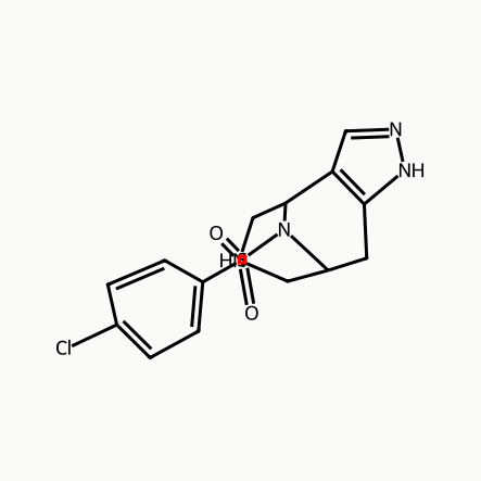 O=S(=O)(c1ccc(Cl)cc1)N1C2CNCC1c1cn[nH]c1C2